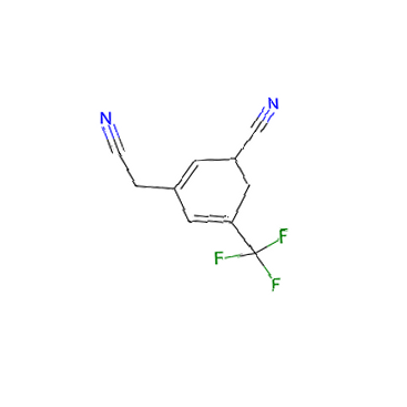 N#CCC1=CC(C#N)CC(C(F)(F)F)=C1